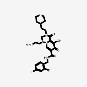 COCCN1CN(CCC2CCOCC2)C(=O)c2c(O)c(=O)c(C(=O)NCc3ccc(F)cc3F)cn21